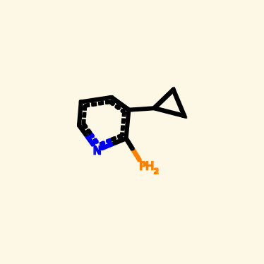 Pc1ncccc1C1CC1